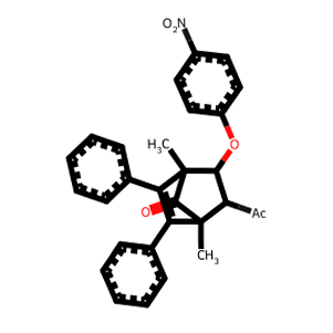 CC(=O)C1C(Oc2ccc([N+](=O)[O-])cc2)C2(C)C(=O)C1(C)C(c1ccccc1)=C2c1ccccc1